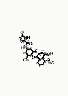 CCO[C@H]1CCCc2c(Oc3c(Cl)cc(NC(=O)c4noc(=O)[nH]4)cc3Cl)ccc(O)c21